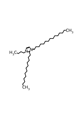 CCCCCCCCCCCCCCC[n+]1ccn(CCCC)c1CCCCCCCCCCCCC